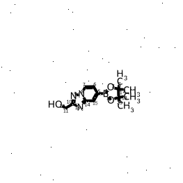 CC1(C)OB(c2ccn3nc(CO)nc3c2)OC1(C)C